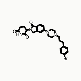 O=C1CCC(N2Cc3cc(N4CCN(CCCc5ccc(Br)cc5)CC4)ccc3C2=O)C(=O)N1